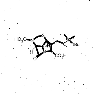 CC(C)(C)[Si](C)(C)OCC1=C2SCN(C(=O)O)[C@@H]3C(=O)N(C1C(=O)O)[C@H]23